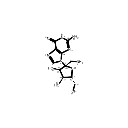 NC[C@@]1(n2cnc3c(=O)[nH]c(N)nc32)O[C@H](CO)[C@@H](O)[C@H]1O